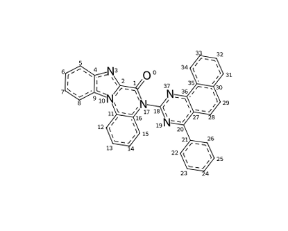 O=c1c2nc3ccccc3n2c2ccccc2n1-c1nc(-c2ccccc2)c2ccc3ccccc3c2n1